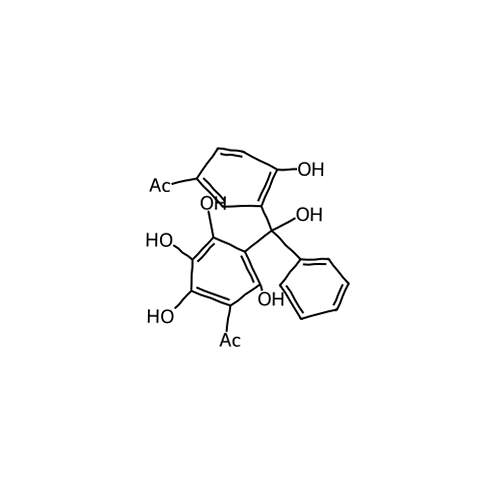 CC(=O)c1ccc(O)c(C(O)(c2ccccc2)c2c(O)c(O)c(O)c(C(C)=O)c2O)c1